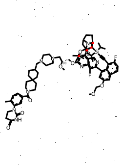 COCOc1cc(-c2ncc3c(N4CC5CCC(C4)N5C(=O)OC(C)(C)C)nc(OC[C@@H](CN4CCN(CC5CCC6(CC5)CCN(C(=O)c5ccc(C)c(N7CCC(=O)NC7=O)c5)CC6)CC4)OC)nc3c2F)c2c(C#C[Si](C(C)C)(C(C)C)C(C)C)c(F)ccc2c1